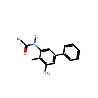 CCN(C(=O)C(C)C)c1cc(-c2ccccc2)cc(OC(C)=O)c1C